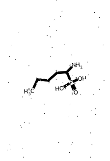 CCCCC(N)P(=O)(O)O